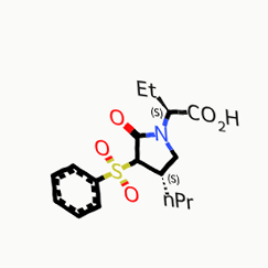 CCC[C@H]1CN([C@@H](CC)C(=O)O)C(=O)C1S(=O)(=O)c1ccccc1